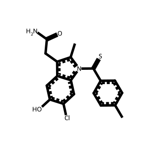 Cc1ccc(C(=S)n2c(C)c(CC(N)=O)c3cc(O)c(Cl)cc32)cc1